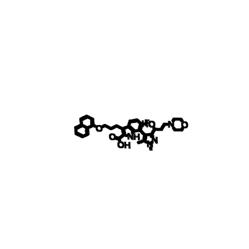 Cc1c(-c2c(F)ccc3c(CCCOc4cccc5ccccc45)c(C(=O)O)[nH]c23)c(C(O)CCN2CCOCC2)nn1C